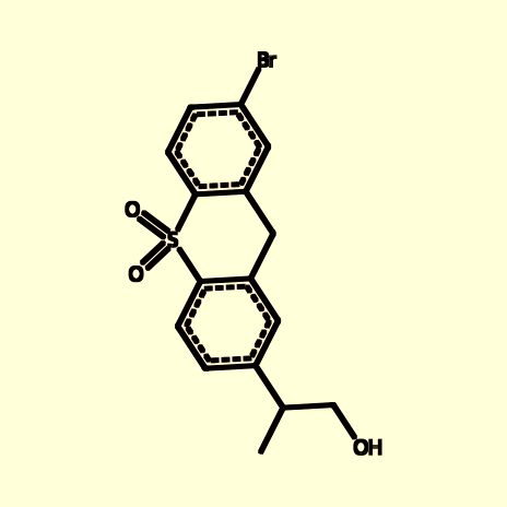 CC(CO)c1ccc2c(c1)Cc1cc(Br)ccc1S2(=O)=O